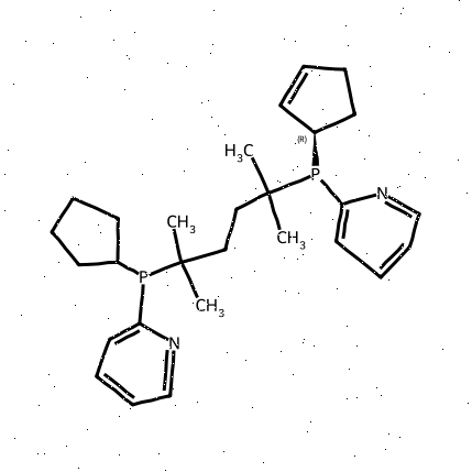 CC(C)(CCC(C)(C)P(c1ccccn1)[C@H]1C=CCC1)P(c1ccccn1)C1CCCC1